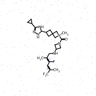 C/C(CNC1CN(C(=O)[N+]2(C)CC3(CC(C4NN=C(C5CC5)N4)C3)C2)C1)=C(F)\C=C(/C)C(F)(F)F